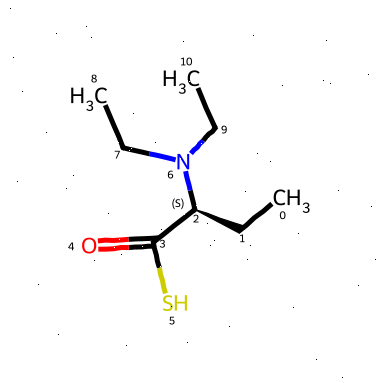 CC[C@@H](C(=O)S)N(CC)CC